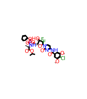 COc1cc(C(=O)Nc2ccn(C3O[C@H](COP(=O)(N[C@H](C)C(=O)OC(C)C)Oc4ccccc4)[C@@H](O)C3(F)F)c(=O)n2)cc(OC)c1Cl